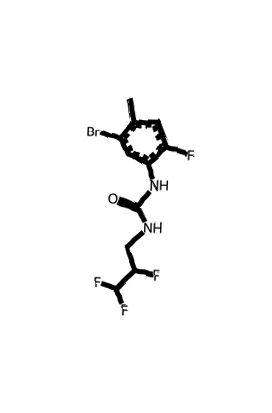 Cc1cc(F)c(NC(=O)NCC(F)C(F)F)cc1Br